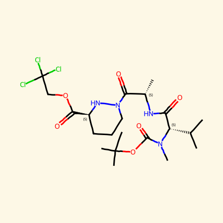 CC(C)[C@@H](C(=O)N[C@@H](C)C(=O)N1CCC[C@@H](C(=O)OCC(Cl)(Cl)Cl)N1)N(C)C(=O)OC(C)(C)C